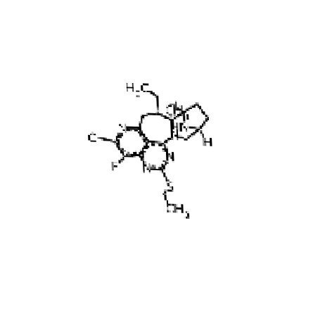 CCSc1nc2c3c(nc(Cl)c(F)c3n1)C[C@@H](CC)[C@@]1(C)[C@@H]3CC[C@H](CN21)N3